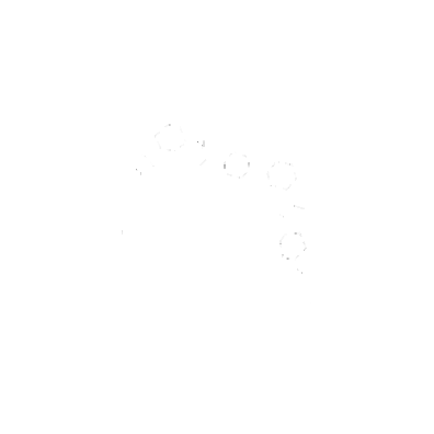 CCCCNS(=O)(=O)c1cccc(NC(=O)c2ccc(-c3cc(C(=O)Nc4ccc(N5CCOCC5)cc4)ccc3C)cc2)c1